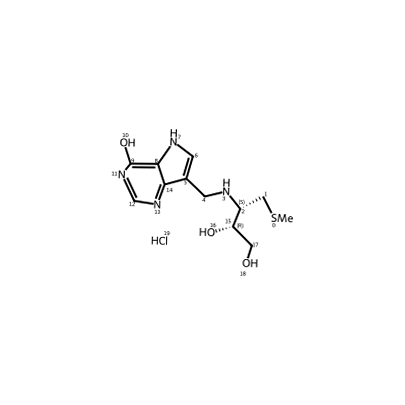 CSC[C@@H](NCc1c[nH]c2c(O)ncnc12)[C@@H](O)CO.Cl